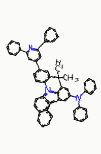 CC1(C)c2cc(-c3cc(-c4ccccc4)nc(-c4ccccc4)c3)ccc2-n2c3ccc4ccccc4c3c3cc(N(c4ccccc4)c4ccccc4)cc1c32